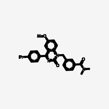 COc1ccc2c(c1)c(-c1ccc(C(C)C)cc1)nc(=O)n2Cc1cccc(C(=O)N(C)C)c1